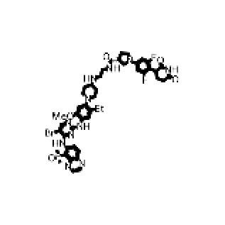 CCc1cc(Nc2ncc(Br)c(Nc3ccc4nccnc4c3P(C)(C)=O)n2)c(OC)cc1N1CCC(NCCNC(=O)[C@@H]2CCN(c3cc(F)c(C4CCC(=O)NC4=O)c(F)c3)C2)CC1